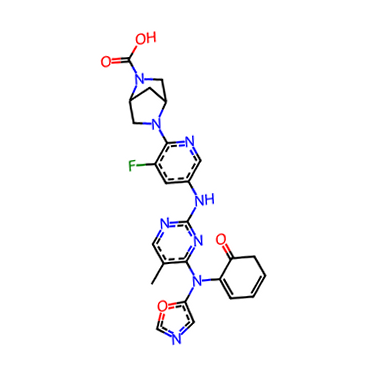 Cc1cnc(Nc2cnc(N3CC4CC3CN4C(=O)O)c(F)c2)nc1N(C1=CC=CCC1=O)c1cnco1